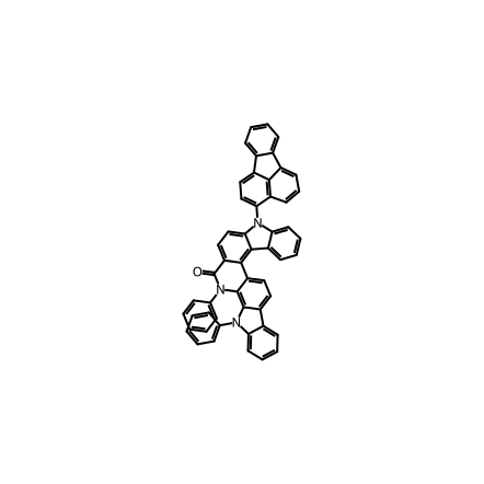 O=c1c2ccc3c(c4ccccc4n3-c3ccc4c5c(cccc35)-c3ccccc3-4)c2c2ccc3c4ccccc4n(-c4ccccc4)c3c2n1-c1ccccc1